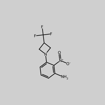 Nc1cccc(N2CC(C(F)(F)F)C2)c1[N+](=O)[O-]